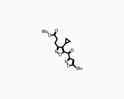 CC(C)(C)OC(=O)CCc1noc(C(=O)c2cc(C(C)(C)C)on2)c1C1CC1